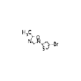 CC1N=CN(c2cc(Br)cs2)O1